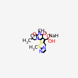 CSc1nccn1Cc1sc2c(c1C(=O)O)c(=O)n(C)c(=O)n2CC(C)C.[NaH]